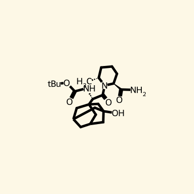 C[C@@H]1CCC[C@@H](C(N)=O)N1C(=O)[C@@H](NC(=O)OC(C)(C)C)C12CC3CC(CC(O)(C3)C1)C2